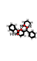 c1ccc(C(c2ccccc2)C2/C(=N\Cc3c[nH]c4ccccc34)C3CCN2CC3)cc1